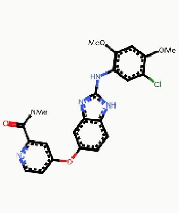 CNC(=O)c1cc(Oc2ccc3[nH]c(Nc4cc(Cl)c(OC)cc4OC)nc3c2)ccn1